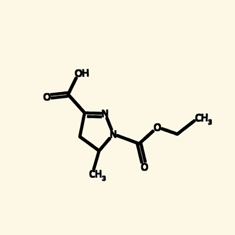 CCOC(=O)N1N=C(C(=O)O)CC1C